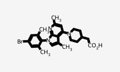 Cc1cc(N2CCC(CC(=O)O)CC2)c2c(C)cn(-c3c(C)cc(Br)cc3C)c2n1